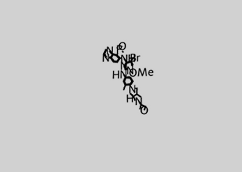 COc1cc(N2CC3CN(C4COC4)C[C@@H]3C2)c(C)cc1Nc1ncc(Br)c(Nc2ccc3nccnc3c2P(C)(C)=O)n1